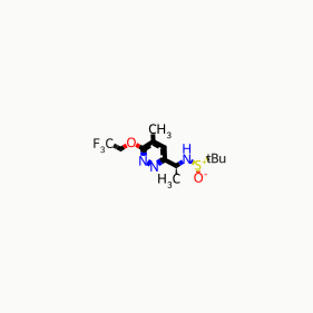 Cc1cc([C@@H](C)N[S+]([O-])C(C)(C)C)nnc1OCC(F)(F)F